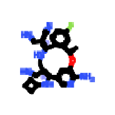 CC1Oc2cc(cnc2N)/C(NC2CCC2)=C(/C=N)CN/C(=C(/C#N)C=N)c2ccc(F)cc21